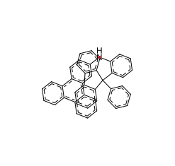 c1ccc(C2(c3ccccc3Nc3ccc4c5ccccc5c5ccccc5c4c3)c3ccccc3-c3ccccc32)cc1